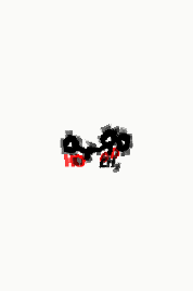 COC(=O)c1c(C/C=C(\CO)c2ccccc2)cccc1-c1ccccc1